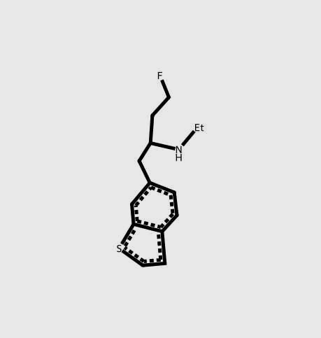 CCNC(CCF)Cc1ccc2ccsc2c1